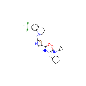 O=C(N[C@@H](CC1CCCCC1)C(=O)NC1CC1)c1cnc(CN2CCCc3ccc(C(F)(F)F)cc32)s1